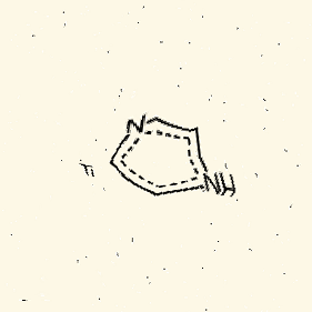 [Ti].c1c[nH]cn1